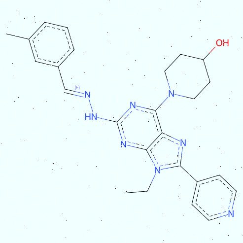 CCn1c(-c2ccncc2)nc2c(N3CCC(O)CC3)nc(N/N=C/c3cccc(C)c3)nc21